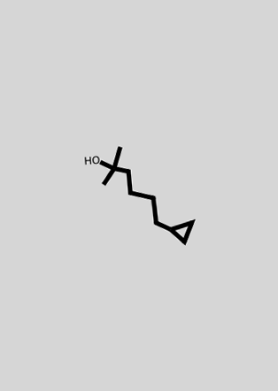 CC(C)(O)CCCCC1CC1